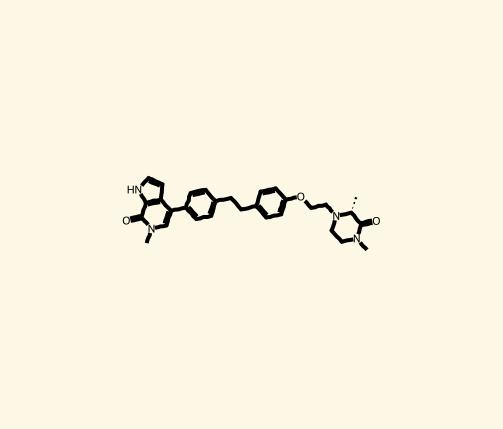 C[C@@H]1C(=O)N(C)CCN1CCOc1ccc(CCc2ccc(-c3cn(C)c(=O)c4[nH]ccc34)cc2)cc1